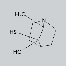 CC1N2CCC(CC2)C1(O)S